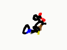 CC(Br)c1oc(=O)c2ccccc2c1-c1csc(CN2CCCCC2)c1